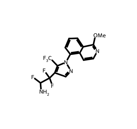 COc1nccc2c(-n3ncc(C(F)(F)C(N)F)c3C(F)(F)F)cccc12